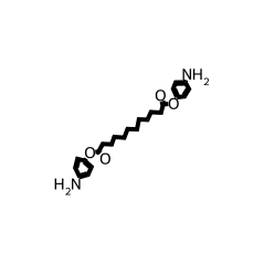 Nc1ccc(OC(=O)CCCCCCCCCCC(=O)Oc2ccc(N)cc2)cc1